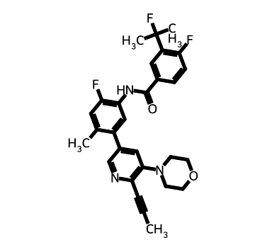 CC#Cc1ncc(-c2cc(NC(=O)c3ccc(F)c(C(C)(C)F)c3)c(F)cc2C)cc1N1CCOCC1